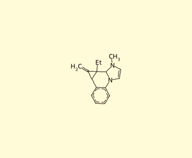 C=C1C2c3ccccc3N3C=CN(C)C3C12CC